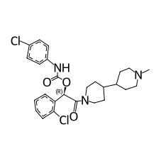 CN1CCC(C2CCN(C(=O)[C@H](OC(=O)Nc3ccc(Cl)cc3)c3ccccc3Cl)CC2)CC1